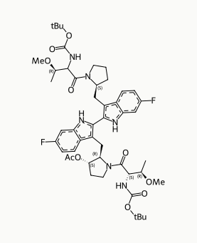 CO[C@H](C)C(NC(=O)OC(C)(C)C)C(=O)N1CCC[C@H]1Cc1c(-c2[nH]c3cc(F)ccc3c2C[C@@H]2[C@@H](OC(C)=O)CCN2C(=O)[C@@H](NC(=O)OC(C)(C)C)[C@@H](C)OC)[nH]c2cc(F)ccc12